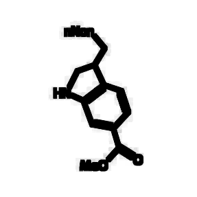 CCCCCCCCCCC1CNc2cc(C(=O)OC)ccc21